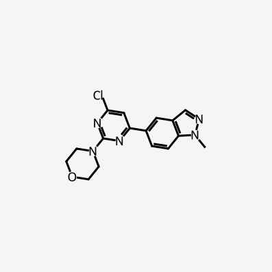 Cn1ncc2cc(-c3cc(Cl)nc(N4CCOCC4)n3)ccc21